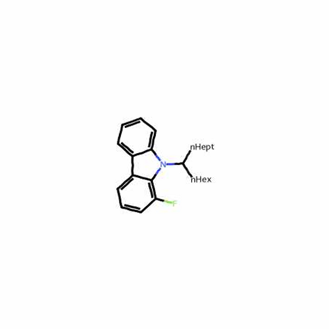 CCCCCCCC(CCCCCC)n1c2ccccc2c2cccc(F)c21